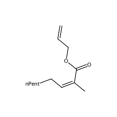 C=CCOC(=O)C(C)=CCCCCCC